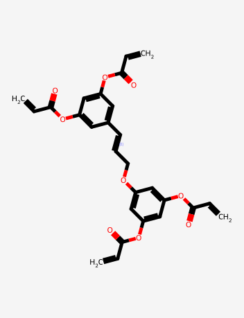 C=CC(=O)Oc1cc(/C=C/COc2cc(OC(=O)C=C)cc(OC(=O)C=C)c2)cc(OC(=O)C=C)c1